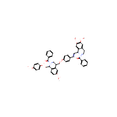 COc1ccc(OCC2c3ccc(OC)cc3C(COc3ccc(/C=C/C4c5cc(OC)c(OC)cc5CCN4C(=O)c4ccccc4)cc3)CN2C(=O)c2ccccc2)cc1